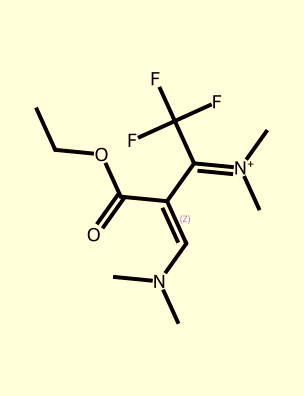 CCOC(=O)/C(=C\N(C)C)C(=[N+](C)C)C(F)(F)F